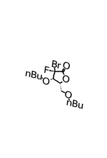 CCCCOC[C@H]1OC(=O)[C@@](F)(Br)[C@H]1OCCCC